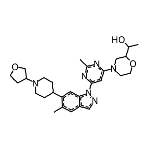 Cc1nc(N2CCOC(C(C)O)C2)cc(-n2ncc3cc(C)c(C4CCN(C5CCOC5)CC4)cc32)n1